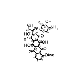 COc1cccc2c1C(=O)c1c(O)c3c(c(O)c1C2=O)C[C@@](O)(C(=O)CO)C[C@@H]3O[C@H]1C[C@H](N)[C@@H](O)[C@H](C)O1.[H+]